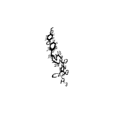 CC(=O)c1nn(C(=O)N2CCN(Cc3cccc(Oc4ccc(F)cc4)c3)CC2)cc1Cl